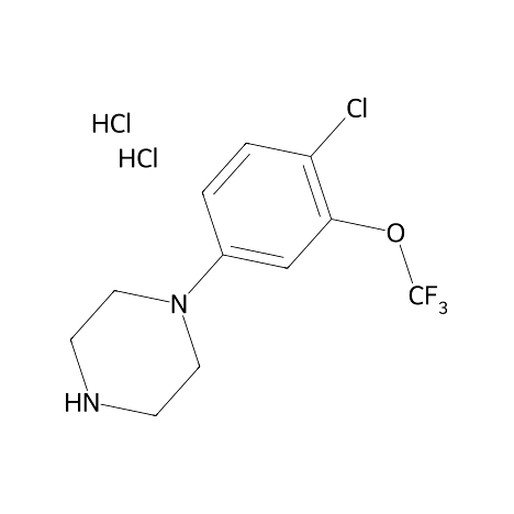 Cl.Cl.FC(F)(F)Oc1cc(N2CCNCC2)ccc1Cl